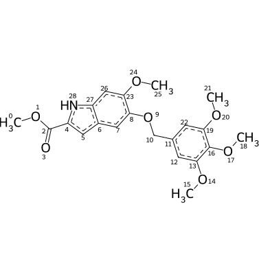 COC(=O)c1cc2cc(OCc3cc(OC)c(OC)c(OC)c3)c(OC)cc2[nH]1